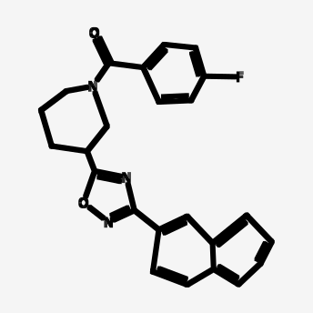 O=C(c1ccc(F)cc1)N1CCCC(c2nc(-c3ccc4ccccc4c3)no2)C1